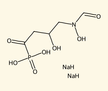 O=CN(O)CC(O)CC(=O)P(=O)(O)O.[NaH].[NaH]